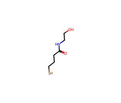 O=C(CCCS)NCCO